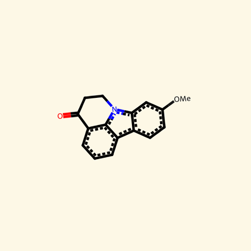 COc1ccc2c3cccc4c3n(c2c1)CCC4=O